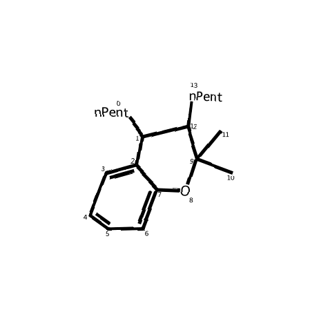 CCCCCC1c2ccccc2OC(C)(C)C1CCCCC